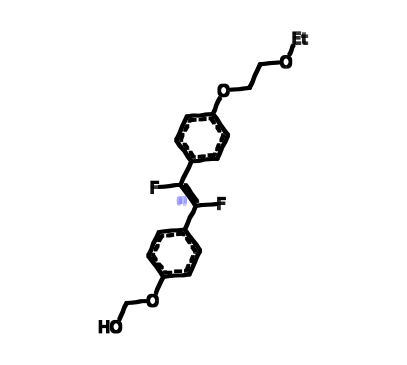 CCOCCOc1ccc(/C(F)=C(\F)c2ccc(OCO)cc2)cc1